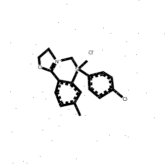 Cc1ccc2c(c1)[Si](C)(c1ccc(Cl)cc1)C[N+]1=C2OCC1.[Cl-]